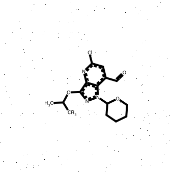 CC(C)Oc1nn(C2CCCCO2)c2c(C=O)cc(Cl)nc12